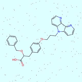 O=C(O)C(Cc1ccc(OCCCn2c3cccnc3c3ncccc32)cc1)OCc1ccccc1